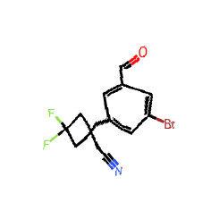 N#CC1(c2cc(Br)cc(C=O)c2)CC(F)(F)C1